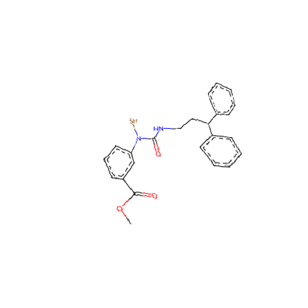 COC(=O)c1cccc(N(S)C(=O)NCCC(c2ccccc2)c2ccccc2)c1